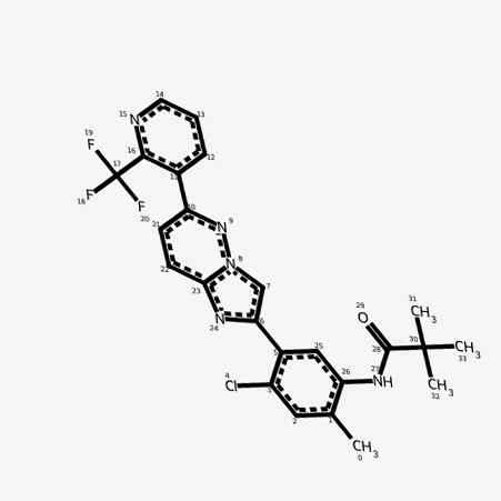 Cc1cc(Cl)c(-c2cn3nc(-c4cccnc4C(F)(F)F)ccc3n2)cc1NC(=O)C(C)(C)C